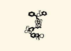 Cc1cc(-c2cc(F)c(=O)n(Cc3ccc4c(c3)CC(=O)N4C)c2)nc(S(=O)(=O)CCC(OCc2ccccc2F)c2ccccc2)n1